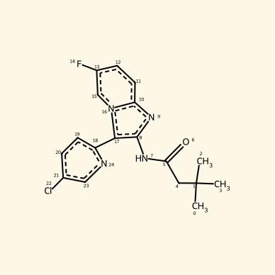 CC(C)(C)CC(=O)Nc1nc2ccc(F)cn2c1-c1ccc(Cl)cn1